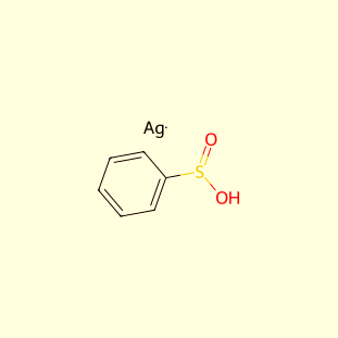 O=S(O)c1ccccc1.[Ag]